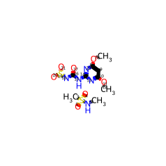 CNS(C)(=O)=O.COc1cc(OC)nc(NC(=O)N=S(=O)=O)n1